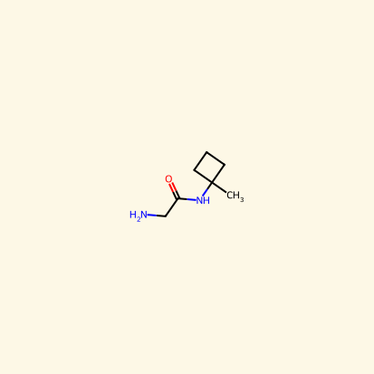 CC1(NC(=O)CN)CCC1